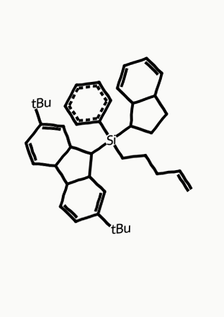 C=CCCC[Si](c1ccccc1)(C1CCC2C=CC=CC21)C1C2C=C(C(C)(C)C)C=CC2C2C=CC(C(C)(C)C)=CC21